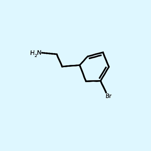 NCCC1C=CC=C(Br)C1